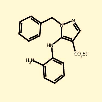 CCOC(=O)c1cnn(Cc2ccccc2)c1Nc1ccccc1N